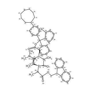 CC(C)[C@@H](C(=O)N(C)[C@H](CC(=O)OC(c1ccccc1)(c1ccc(C2CCCCCCC2)cc1)c1ccccc1Cl)C(=O)N(C)C)N(C)C(=O)OCC1c2ccccc2-c2ccccc21